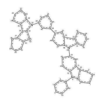 c1ccc(-n2c3ccccc3c3cc(-n4c5ccccc5c5cc(-c6cccc(-n7c8ccccc8c8c9ccccc9oc87)c6)ccc54)ccc32)cc1